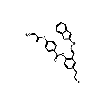 C=CC(=O)Oc1ccc(C(=O)Oc2ccc(CCO)cc2/C=N/Nc2nc3ccccc3s2)cc1